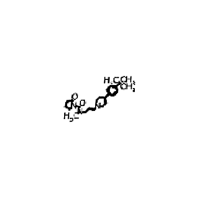 CN(CCCN1CC=C(c2ccc(C(C)(C)C)cc2)CC1)C(=O)N1CCCC1=O